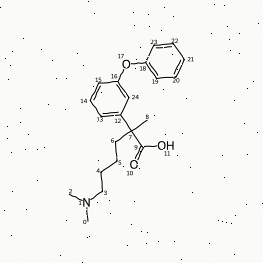 CN(C)CCCCC(C)(C(=O)O)c1cccc(Oc2ccccc2)c1